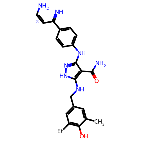 CCc1cc(CNc2[nH]nc(Nc3ccc(C(=N)/C=C\N)cc3)c2C(N)=O)cc(C)c1O